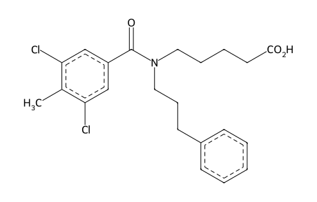 Cc1c(Cl)cc(C(=O)N(CCCCC(=O)O)CCCc2ccccc2)cc1Cl